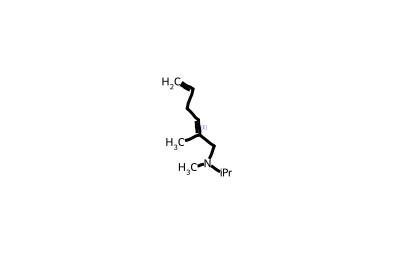 C=CC/C=C(\C)CN(C)C(C)C